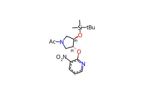 CC(=O)N1C[C@@H](Oc2ncccc2[N+](=O)[O-])[C@H](O[Si](C)(C)C(C)(C)C)C1